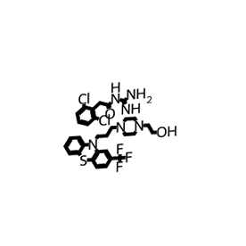 N=C(N)NC(=O)Cc1c(Cl)cccc1Cl.OCCN1CCN(CCCN2c3ccccc3Sc3ccc(C(F)(F)F)cc32)CC1